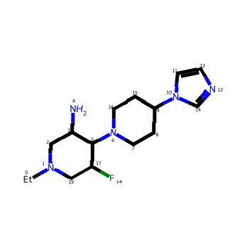 CCN1CC(N)C(N2CCC(n3ccnc3)CC2)C(F)C1